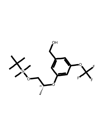 C[C@H](CO[Si](C)(C)C(C)(C)C)Oc1cc(CO)cc(OC(F)(F)F)c1